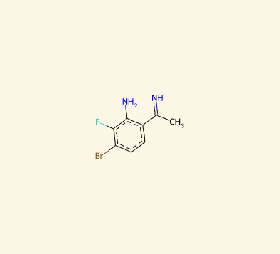 CC(=N)c1ccc(Br)c(F)c1N